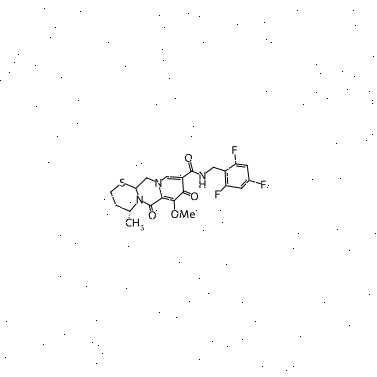 COc1c2n(cc(C(=O)NCc3c(F)cc(F)cc3F)c1=O)CC1SCC[C@@H](C)N1C2=O